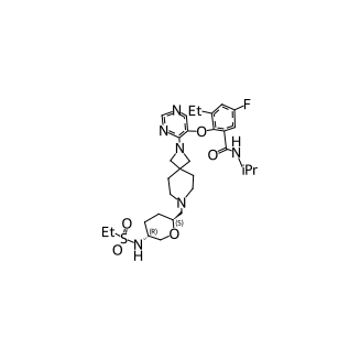 CCc1cc(F)cc(C(=O)NC(C)C)c1Oc1cncnc1N1CC2(CCN(C[C@@H]3CC[C@@H](NS(=O)(=O)CC)CO3)CC2)C1